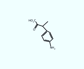 CC(C(=O)C(=O)O)c1ccc(N)cc1